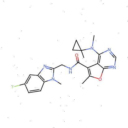 Cc1oc2ncnc(N(C)C3(C)CC3)c2c1C(=O)NCc1nc2cc(F)ccc2n1C